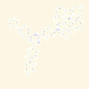 c1ccc(-c2ccc(-c3nc(-c4ccc(-c5ccccc5)cc4)nc(-c4ccc(-n5c6ccccc6c6c(-n7c8ccccc8c8ccccc87)c7ccccc7cc65)cc4)n3)cc2)cc1